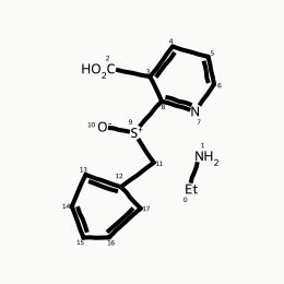 CCN.O=C(O)c1cccnc1[S+]([O-])Cc1ccccc1